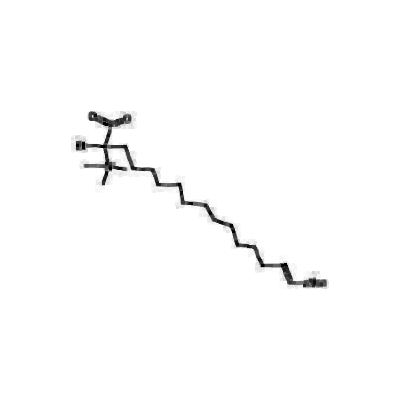 CCCCCCCCCC=CCCCCCCCCCCCCC(CC)(P(=O)=O)[N+](C)(C)C